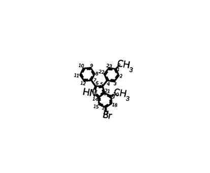 Cc1ccc(-c2c(-c3ccccc3)[nH]c3cc(Br)cc(C)c23)cc1